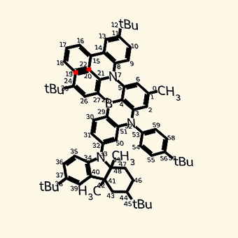 Cc1cc2c3c(c1)N(c1ccc(C(C)(C)C)cc1-c1ccccc1)c1ccc(C(C)(C)C)cc1B3c1ccc(N3c4ccc(C(C)(C)C)cc4C4(C)CC(C(C)(C)C)CCC34C)cc1N2c1ccc(C(C)(C)C)cc1